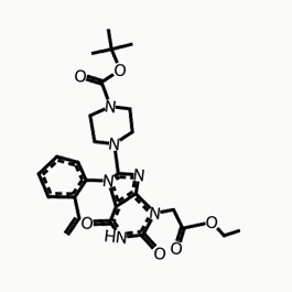 C=Cc1ccccc1-n1c(N2CCN(C(=O)OC(C)(C)C)CC2)nc2c1c(=O)[nH]c(=O)n2CC(=O)OCC